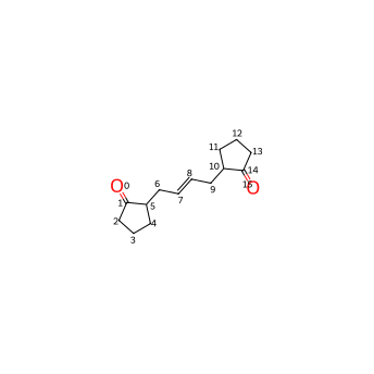 O=C1CCCC1C/C=C/CC1CCCC1=O